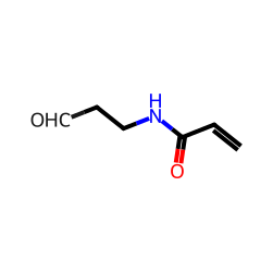 C=CC(=O)NCCC=O